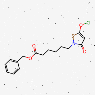 O=C(CCCCCn1sc(OCl)cc1=O)OCc1ccccc1